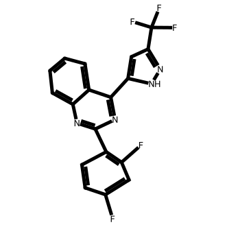 Fc1ccc(-c2nc(-c3cc(C(F)(F)F)n[nH]3)c3ccccc3n2)c(F)c1